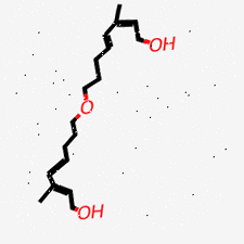 CC(C=CCCCOCCCC=CC(C)=CCO)=CCO